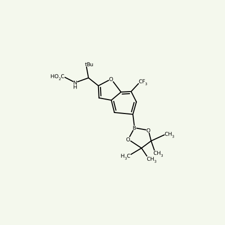 CC(C)(C)C(NC(=O)O)c1cc2cc(B3OC(C)(C)C(C)(C)O3)cc(C(F)(F)F)c2o1